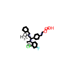 CC(=C\c1ccccc1C)/C(=C(\CC(C)C)c1ccc(F)cc1Cl)c1ccc(/C=C/OOO)cc1